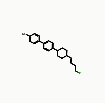 N#Cc1ccc(-c2ccc(C3CCC(/C=C/CCF)CC3)cc2)cc1